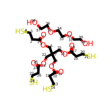 O=C(CCS)OCC(COC(=O)CCS)(COC(=O)CCS)COC(=O)CCS.OCCOCCOCCO